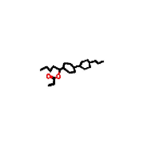 C=CC(=O)OC(CCCC)C1CCC(C2CCC(CCC)CC2)CC1